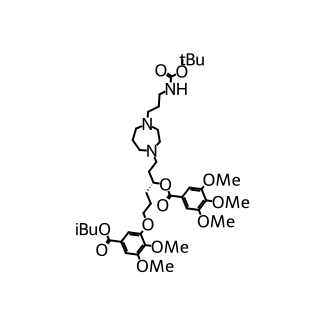 COc1cc(C(=O)O[C@H](CCCOc2cc(C(=O)OCC(C)C)cc(OC)c2OC)CCN2CCCN(CCCNC(=O)OC(C)(C)C)CC2)cc(OC)c1OC